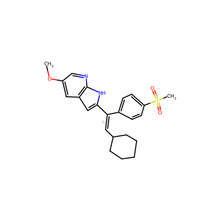 COc1cnc2[nH]c(/C(=C/C3CCCCC3)c3ccc(S(C)(=O)=O)cc3)cc2c1